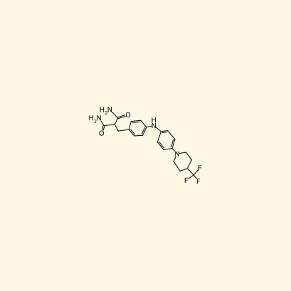 NC(=O)C(Cc1ccc(Nc2ccc(N3CCC(C(F)(F)F)CC3)cc2)cc1)C(N)=O